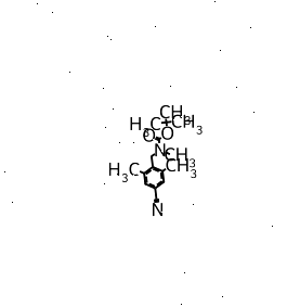 Cc1cc(C#N)cc(C)c1CN(C)C(=O)OC(C)(C)C